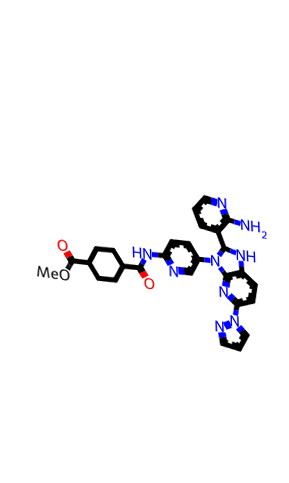 COC(=O)C1CCC(C(=O)Nc2ccc(N3c4nc(-n5cccn5)ccc4NC3c3cccnc3N)cn2)CC1